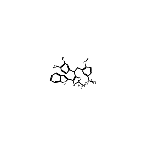 COc1ccc(C(Cc2cc([N+](=O)[O-])ccc2OC)c2nc(N)sc2-c2cc3ccccc3s2)cc1F